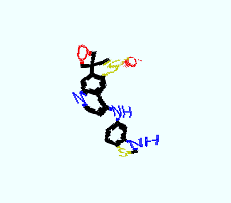 [O-][S+]1CC2(COC2)c2cc3nccc(Nc4ccc5c(c4)NCS5)c3cc21